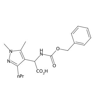 CCCc1nn(C)c(C)c1C(NC(=O)OCc1ccccc1)C(=O)O